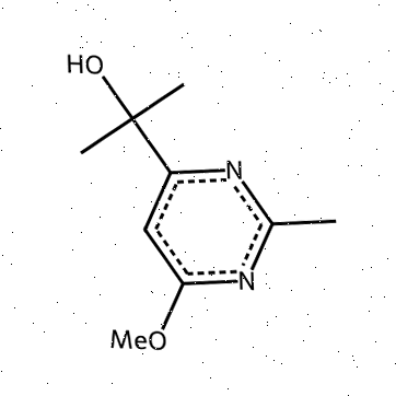 COc1cc(C(C)(C)O)nc(C)n1